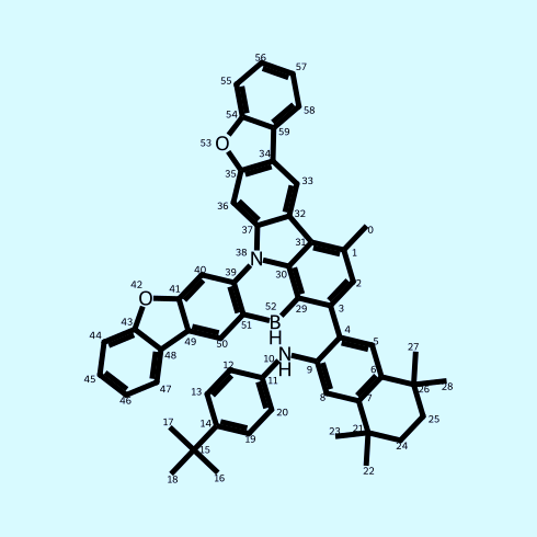 Cc1cc(-c2cc3c(cc2Nc2ccc(C(C)(C)C)cc2)C(C)(C)CCC3(C)C)c2c3c1c1cc4c(cc1n3-c1cc3oc5ccccc5c3cc1B2)oc1ccccc14